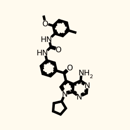 COc1ccc(C)cc1NC(=O)Nc1cccc(C(=O)c2cn(C3CCCC3)c3ncnc(N)c23)c1